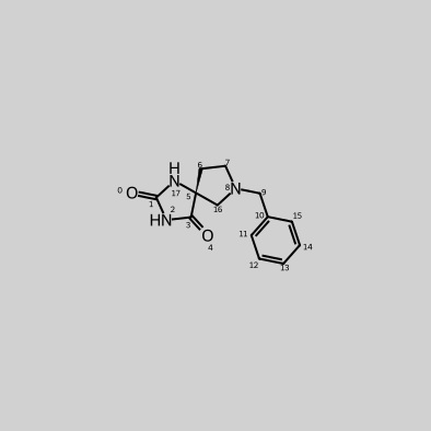 O=C1NC(=O)[C@]2(CCN(Cc3ccccc3)C2)N1